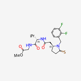 COC(=O)CNC(=O)[C@@H](NC(=O)C[C@@H]1CCC(=S)N1Cc1cccc(F)c1F)C(C)C